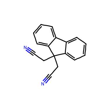 N#CCC1(CC#N)c2ccccc2-c2ccccc21